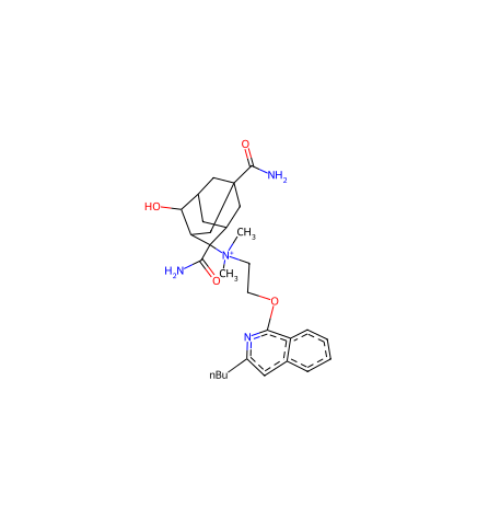 CCCCc1cc2ccccc2c(OCC[N+](C)(C)C2(C(N)=O)C3CC4CC(C(N)=O)(C3)CC2C4O)n1